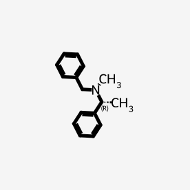 C[C@H](c1ccccc1)N(C)Cc1ccccc1